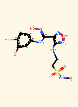 CCNS(=O)(=O)CCNc1nonc1/C(=N/O)Nc1ccc(F)c(Br)c1